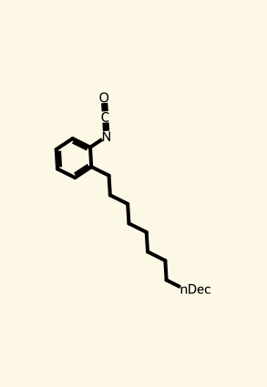 CCCCCCCCCCCCCCCCCCc1ccccc1N=C=O